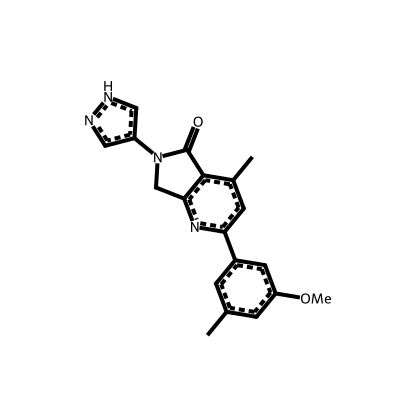 COc1cc(C)cc(-c2cc(C)c3c(n2)CN(c2cn[nH]c2)C3=O)c1